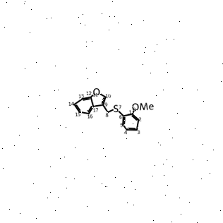 COc1ccccc1SCc1coc2ccccc12